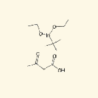 CC(=O)CC(=O)O.CC[O][In]([O]CC)[C](C)(C)C